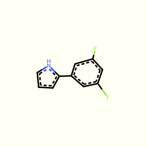 Fc1cc(F)cc(-c2ccc[nH]2)c1